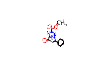 CCOC(=O)c1nc2n(n1)C(c1ccccc1)CC2=O